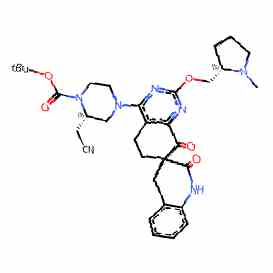 CN1CCC[C@H]1COc1nc2c(c(N3CCN(C(=O)OC(C)(C)C)[C@@H](CC#N)C3)n1)CCC1(Cc3ccccc3NC1=O)C2=O